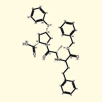 C[C@H](NC(CCc1ccccc1)C(=O)OCc1ccccc1)C(=O)N1C[C@@H](Sc2ccccc2)C[C@H]1C(=O)O